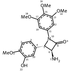 COc1ccc([C@H]2[C@H](N)C(=O)N2c2cc(OC)c(OC)c(OC)c2)cc1O